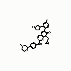 Cc1ccc(-c2cc3cnc(Nc4ccc(C5CN(C)CCS5)cc4)nc3n(CC3CC3)c2=O)c(C2CCNC2)c1